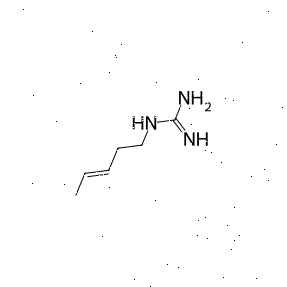 CC=CCCNC(=N)N